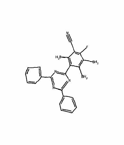 Bc1c(B)c(-c2nc(-c3ccccc3)nc(-c3ccccc3)n2)c(B)c(C#N)c1F